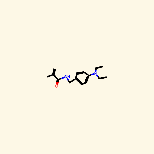 C=C(C)C(=O)NCc1ccc(N(CC)CC)cc1